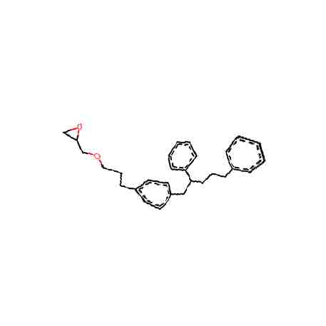 c1ccc(CCCC(Cc2ccc(CCCOCC3CO3)cc2)c2ccccc2)cc1